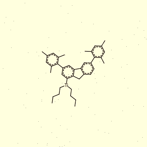 CCC[CH2][Ti]([CH2]CCC)[c]1cc(-c2c(C)cc(C)cc2C)cc2c1Cc1ccc(-c3c(C)cc(C)cc3C)cc1-2